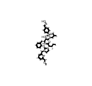 CC[C@H](C)[C@@H](C(=O)N[C@@H](Cc1ccccc1)[C@H](O)CN(CC(C)C)S(=O)(=O)c1ccc(C=NO)cc1)N1CCN(Cc2cccc(COC)n2)C1=O